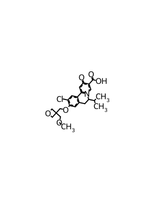 COCC1(COc2cc3c(cc2Cl)-c2cc(=O)c(C(=O)O)cn2C(C(C)C)C3)COC1